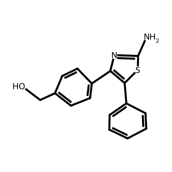 Nc1nc(-c2ccc(CO)cc2)c(-c2ccccc2)s1